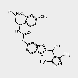 Cc1ccc(C(CCC(C)C)NC(=O)Cc2ccc3oc(C(O)c4c(C)noc4C)cc3c2)c(C)n1